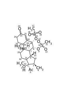 CC(=O)[C@@]1(O)[C@H](C)C[C@H]2[C@@H]3[C@@H](OS(C)(=O)=O)[C@@H](OS(C)(=O)=O)C4=CC(=O)CC[C@]4(C)[C@H]3CC[C@@]21C